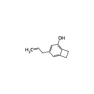 C=CCc1cc(O)c2c(c1)CC2